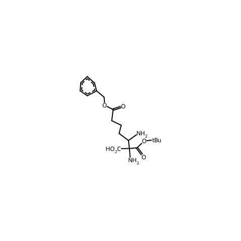 CC(C)(C)OC(=O)C(N)(C(=O)O)C(N)CCCC(=O)OCc1ccccc1